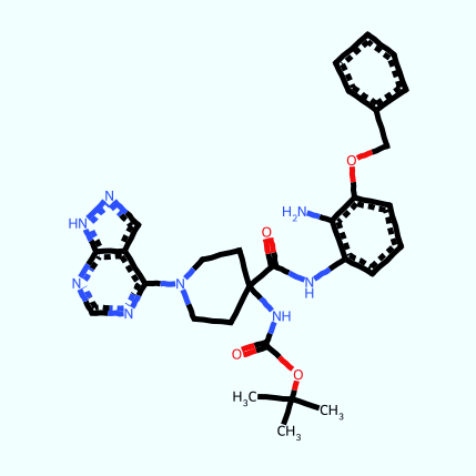 CC(C)(C)OC(=O)NC1(C(=O)Nc2cccc(OCc3ccccc3)c2N)CCN(c2ncnc3[nH]ncc23)CC1